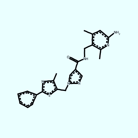 Cc1cc(N)nc(C)c1CNC(=O)c1cnn(Cc2sc(-c3ccccc3)nc2C)c1